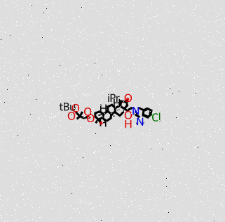 CC(C)C1=C2[C@H]3CC[C@@H]4[C@@]5(C)CC[C@H](OC(=O)CC(C)(C)C(=O)OC(C)(C)C)C(C)(C)[C@@H]5CC[C@@]4(C)[C@]3(C)CC[C@@]2([C@H](O)CN(CCN(C)C)Cc2ccc(Cl)cc2)CC1=O